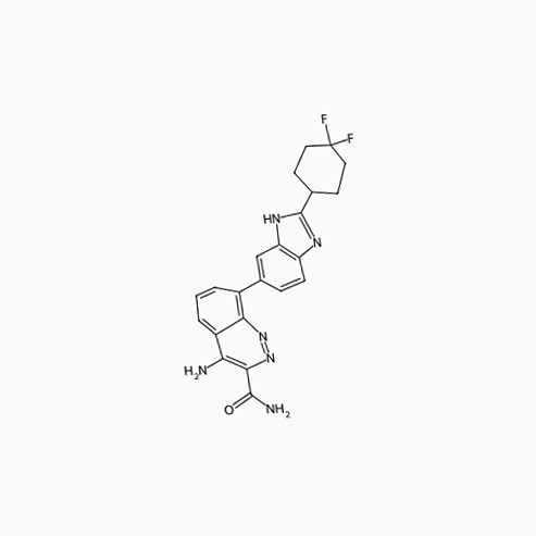 NC(=O)c1nnc2c(-c3ccc4nc(C5CCC(F)(F)CC5)[nH]c4c3)cccc2c1N